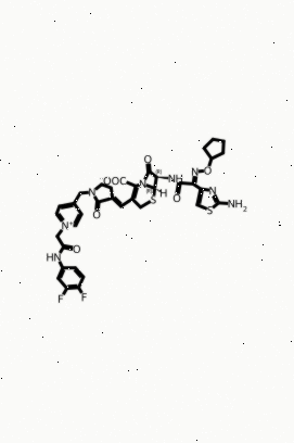 Nc1nc(C(=NOC2CCCC2)C(=O)N[C@@H]2C(=O)N3C(C(=O)[O-])=C(C=C4CCN(Cc5cc[n+](CC(=O)Nc6ccc(F)c(F)c6)cc5)C4=O)CS[C@H]23)cs1